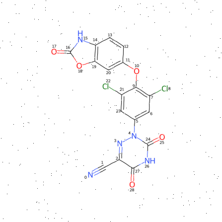 N#Cc1nn(-c2cc(Cl)c(Oc3ccc4[nH]c(=O)oc4c3)c(Cl)c2)c(=O)[nH]c1=O